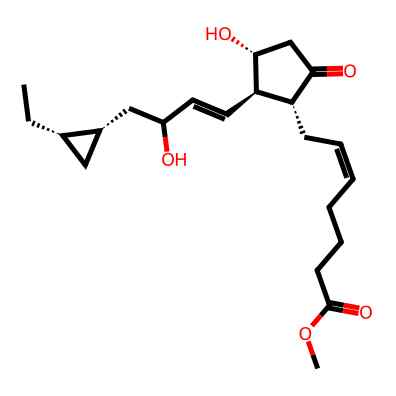 CC[C@H]1C[C@H]1CC(O)/C=C/[C@H]1[C@H](O)CC(=O)[C@@H]1C/C=C\CCCC(=O)OC